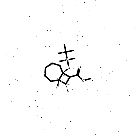 COC(=O)C1[C@H](C)[C@@H]2CCCCC[C@]12O[Si](C)(C)C(C)(C)C